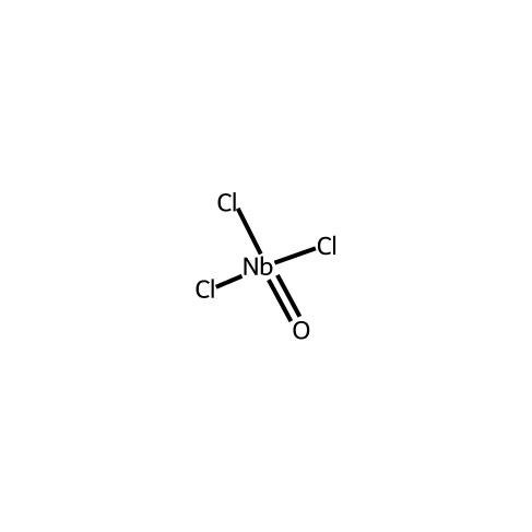 [O]=[Nb]([Cl])([Cl])[Cl]